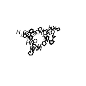 COc1cccc(OC)c1-c1cc(C(=O)NC(CCN2CCCCC2)Cc2nnc[nH]2)nn1C1CCCC1.O=C(CC(CCN1CCCCC1)NC(=O)c1cc(-c2ccccc2C2CC2)n(C2CCCC2)n1)NC1CCC1